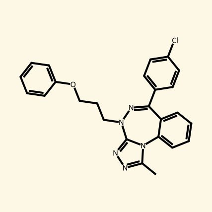 Cc1nnc2n1-c1ccccc1C(c1ccc(Cl)cc1)=NN2CCCOc1ccccc1